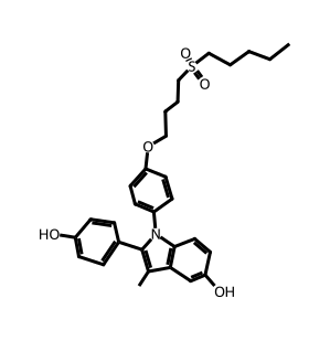 CCCCCS(=O)(=O)CCCCOc1ccc(-n2c(-c3ccc(O)cc3)c(C)c3cc(O)ccc32)cc1